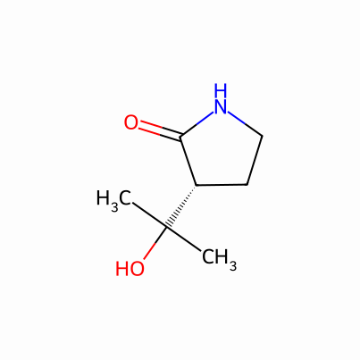 CC(C)(O)[C@H]1CCNC1=O